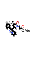 COC(=O)CCn1cc(-c2c(-c3ccccc3)nn3ccccc23)cc(C(=O)O)c1=O